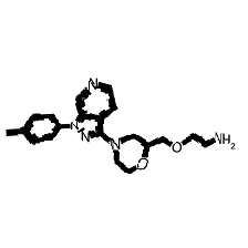 Cc1ccc(-n2nc(N3CCOC(COCCN)C3)c3ccncc32)cc1